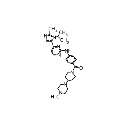 Cc1ncc(-c2ccnc(Nc3ccc(C(=O)N4CCC(N5CCN(C)CC5)CC4)cc3)n2)n1C(C)C